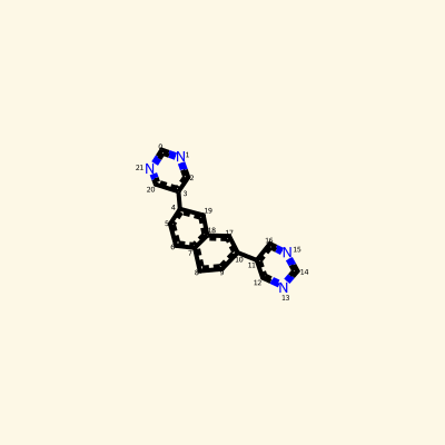 c1ncc(-c2ccc3ccc(-c4cncnc4)cc3c2)cn1